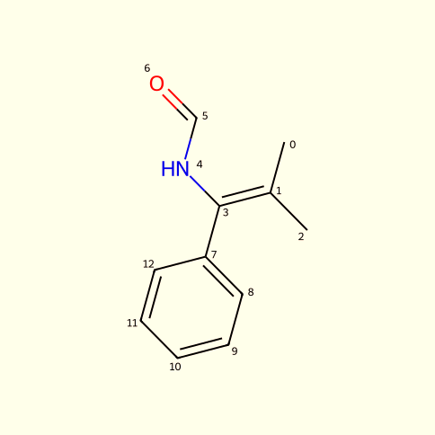 CC(C)=C(NC=O)c1ccccc1